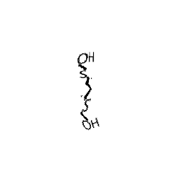 OCCS[CH]CC[CH]SCCO